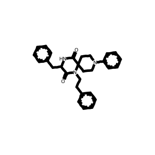 O=C1C(Cc2ccccc2)NC(=O)C2(CCN(c3ccccc3)CC2)N1CCc1ccccc1